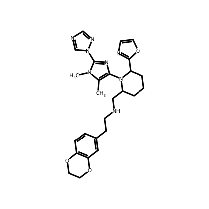 Cc1c(N2C(CNCCc3ccc4c(c3)OCCO4)CCCC2c2ncco2)nc(-n2cncn2)n1C